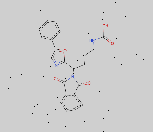 O=C(O)NCCCC(c1ncc(-c2ccccc2)o1)N1C(=O)c2ccccc2C1=O